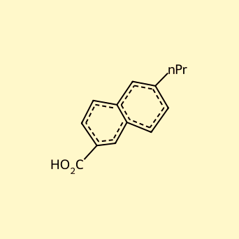 CCCc1ccc2cc(C(=O)O)ccc2c1